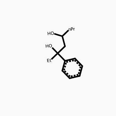 CCCC(O)CC(O)(CC)c1ccccc1